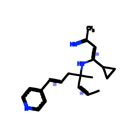 C/C=C\C(C)(C/C=C/c1ccncc1)N/C(=C\C(=N)C(F)(F)F)C1CC1